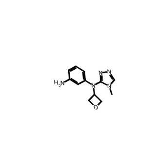 Cn1cnnc1N(c1cccc(N)c1)C1COC1